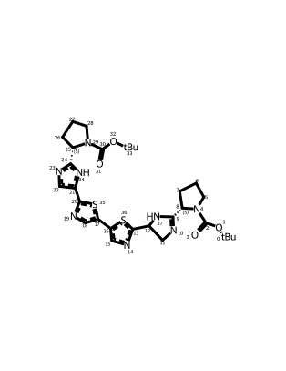 CC(C)(C)OC(=O)N1CCC[C@H]1C1=NCC(c2ncc(-c3cnc(-c4cnc([C@@H]5CCCN5C(=O)OC(C)(C)C)[nH]4)s3)s2)N1